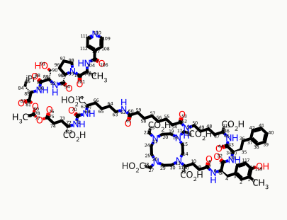 Cc1cc(C[C@@H](NC(=O)CC[C@@H](C(=O)O)N2CCN(CC(=O)O)CCN(CC(=O)O)CCN(CC(=O)O)CC2)C(=O)N[C@H](CCc2ccccc2)C(=O)NC(CCCCNC(=O)CCCCCCC(=O)NCCCC[C@H](NC(=O)N[C@@H](CCC(=O)OC(C)OC(=O)[C@H](CC(C)C)NC(=O)[C@H](CO)NC(=O)[C@@H]2CCCN2C(=O)[C@@H](C)NC(=O)c2ccncc2)C(=O)O)C(=O)O)C(=O)O)ccc1O